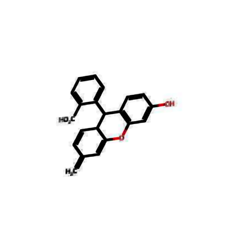 C=C1C=CC2C(=C1)Oc1cc(O)ccc1C2c1ccccc1C(=O)O